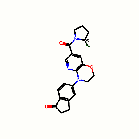 O=C1CCc2cc(N3CCOc4cc(C(=O)N5CCC[C@H]5F)cnc43)ccc21